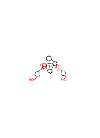 O=C(CCC1(C2(CCC(=O)OCC3CCC(CO)CC3)c3ccccc3-c3ccccc32)c2ccccc2-c2ccccc21)OCC1CCC(CO)CC1